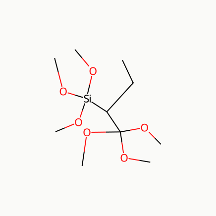 CCC(C(OC)(OC)OC)[Si](OC)(OC)OC